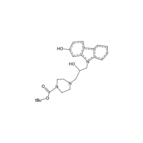 CC(C)(C)OC(=O)N1CCN(CC(O)Cn2c3ccccc3c3ccc(O)cc32)CC1